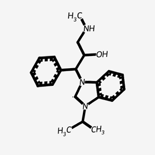 CNCC(O)C(c1ccccc1)N1[CH]N(C(C)C)c2ccccc21